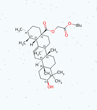 C[C@H]1[C@H](C)CC[C@]2(C(=O)OCC(=O)OC(C)(C)C)CC[C@]3(C)C(=CC[C@@H]4[C@@]5(C)CC[C@H](O)C(C)(C)C5CC[C@]43C)[C@H]12